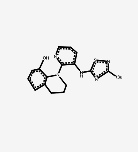 CC(C)(C)c1nsc(Nc2cccnc2N2CCCc3cccc(O)c32)n1